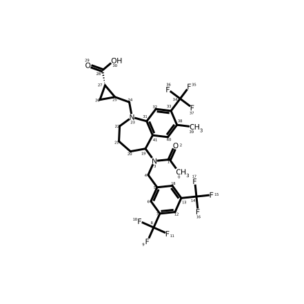 CC(=O)N(Cc1cc(C(F)(F)F)cc(C(F)(F)F)c1)C1CCCN(CC2C[C@@H]2C(=O)O)c2cc(C(F)(F)F)c(C)cc21